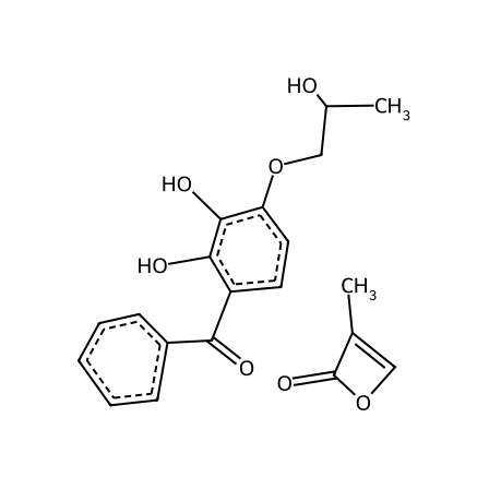 CC(O)COc1ccc(C(=O)c2ccccc2)c(O)c1O.CC1=COC1=O